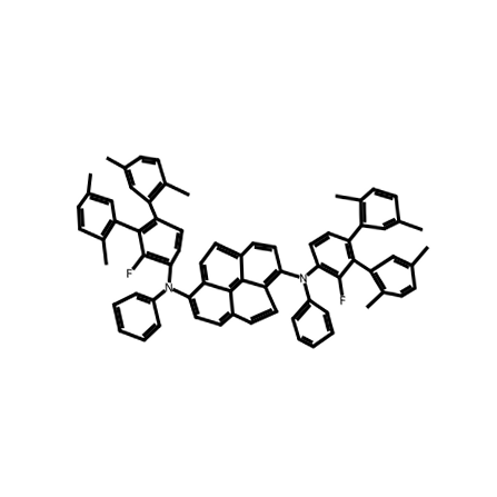 Cc1ccc(C)c(-c2ccc(N(c3ccccc3)c3ccc4ccc5c(N(c6ccccc6)c6ccc(-c7cc(C)ccc7C)c(-c7cc(C)ccc7C)c6F)ccc6ccc3c4c65)c(F)c2-c2cc(C)ccc2C)c1